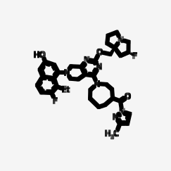 CCc1c(F)ccc2cc(O)cc(N3CCc4c(nc(OC[C@@]56CCCN5C[C@H](F)C6)nc4N4CCCCC(C(=O)n5ccc(C)n5)CC4)C3)c12